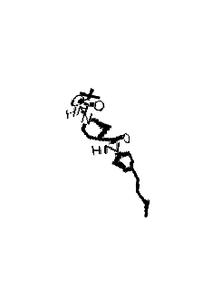 CCCCc1ccc(NC(=O)C2CCN(NS(=O)(=O)C(C)(C)C)CC2)cc1